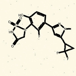 Cn1nc(-c2ccc(O)c(N3CC(=O)NS3(=O)=O)c2F)cc1C1CC1(F)F